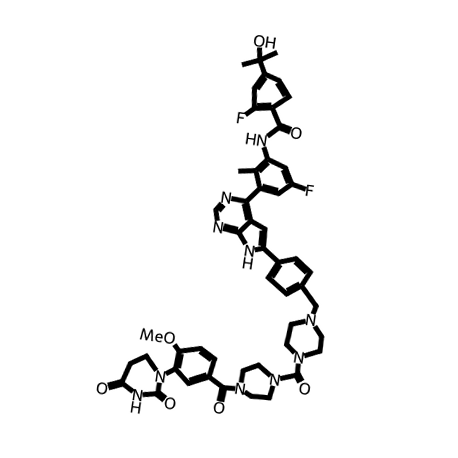 COc1ccc(C(=O)N2CCN(C(=O)N3CCN(Cc4ccc(-c5cc6c(-c7cc(F)cc(NC(=O)c8ccc(C(C)(C)O)cc8F)c7C)ncnc6[nH]5)cc4)CC3)CC2)cc1N1CCC(=O)NC1=O